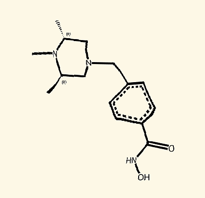 C[C@@H]1CN(Cc2ccc(C(=O)NO)cc2)C[C@@H](C)N1C